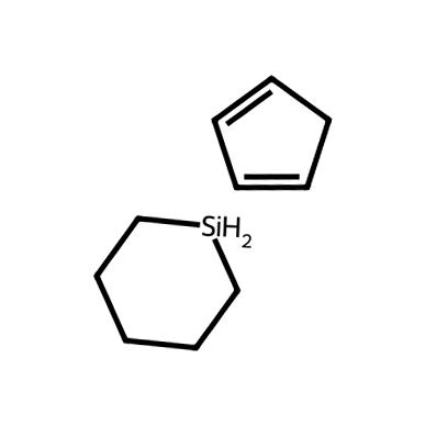 C1=CCC=C1.C1CC[SiH2]CC1